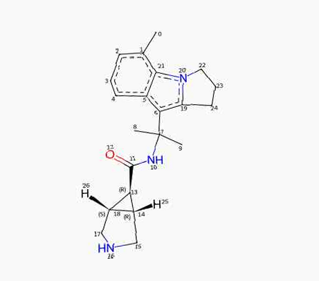 Cc1cccc2c(C(C)(C)NC(=O)[C@H]3[C@@H]4CNC[C@@H]43)c3n(c12)CCC3